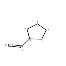 O=PC1CCCC1